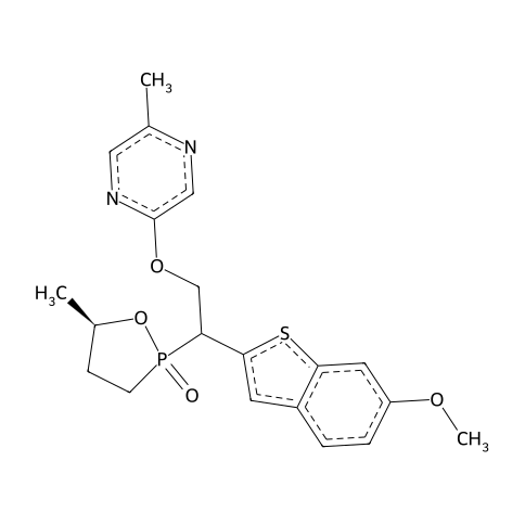 COc1ccc2cc(C(COc3cnc(C)cn3)P3(=O)CC[C@@H](C)O3)sc2c1